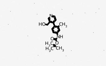 Cc1cc(NC(=O)OC(C)(C)C)ccc1-c1ccncc1CO